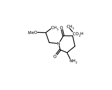 CC(=O)O.COC(C)CN1C(=O)CCC(N)C1=O